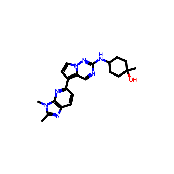 Cc1nc2ccc(-c3ccn4nc(NC5CCC(C)(O)CC5)ncc34)nc2n1C